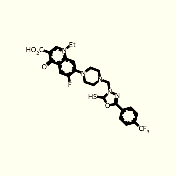 CCn1cc(C(=O)O)c(=O)c2cc(F)c(N3CCN(CN4N=C(c5ccc(C(F)(F)F)cc5)OC4S)CC3)cc21